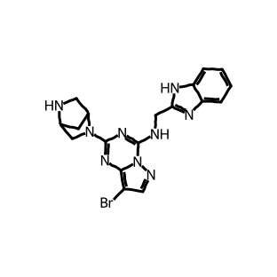 Brc1cnn2c(NCc3nc4ccccc4[nH]3)nc(N3CC4CC3CN4)nc12